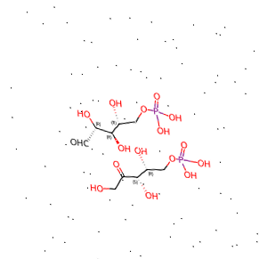 O=C(CO)[C@@H](O)[C@H](O)COP(=O)(O)O.O=C[C@H](O)[C@H](O)[C@H](O)COP(=O)(O)O